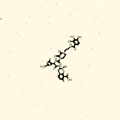 Nc1nc(C(NC(=O)N2CCN(CCNC(=O)c3ccc(O)c(O)c3Cl)C(=O)C2=O)C(=O)N[C@H]2Cc3ccc(F)c(C(=O)O)c3OB2O)c(F)s1